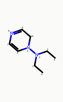 CCN(CC)N1C=CN=CC1